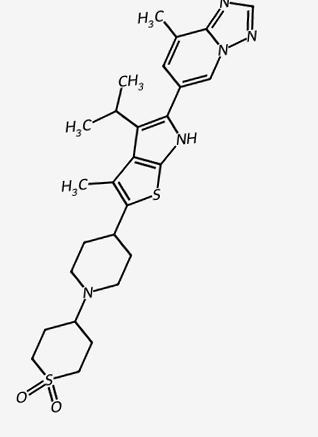 Cc1c(C2CCN(C3CCS(=O)(=O)CC3)CC2)sc2[nH]c(-c3cc(C)c4ncnn4c3)c(C(C)C)c12